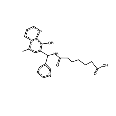 Cc1cc(C(NC(=O)CCCCCC(=O)O)c2cccnc2)c(O)c2ncccc12